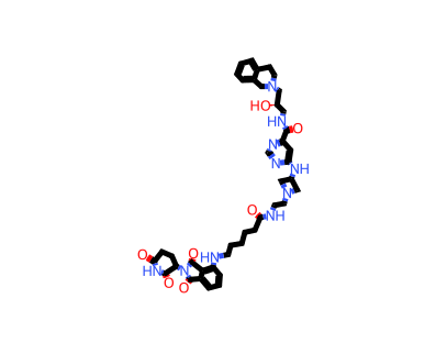 O=C(CCCCCNc1cccc2c1C(=O)N(C1CCC(=O)NC1=O)C2=O)NCCN1CC(Nc2cc(C(=O)NC[C@H](O)CN3CCc4ccccc4C3)ncn2)C1